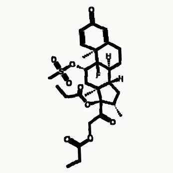 CCC(=O)OCC(=O)[C@@]1(OC(=O)CC)[C@@H](C)C[C@H]2[C@@H]3CCC4=CC(=O)C=C[C@]4(C)C3(F)[C@@H](OS(C)(=O)=O)C[C@@]21C